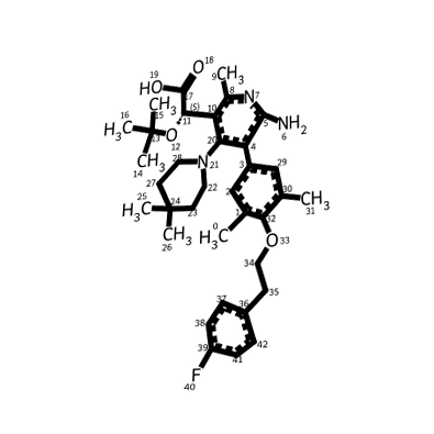 Cc1cc(-c2c(N)nc(C)c([C@H](OC(C)(C)C)C(=O)O)c2N2CCC(C)(C)CC2)cc(C)c1OCCc1ccc(F)cc1